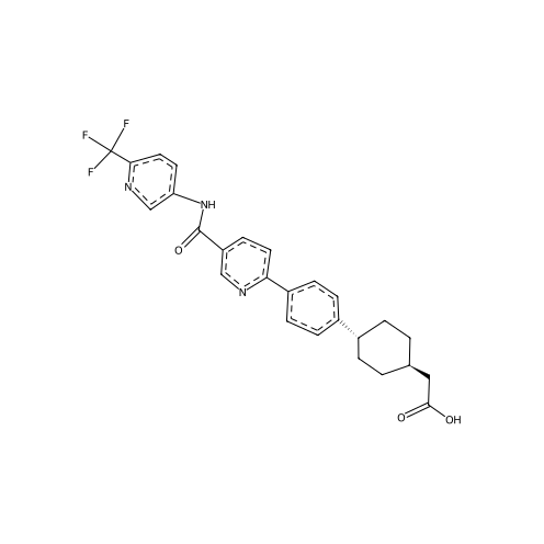 O=C(O)C[C@H]1CC[C@H](c2ccc(-c3ccc(C(=O)Nc4ccc(C(F)(F)F)nc4)cn3)cc2)CC1